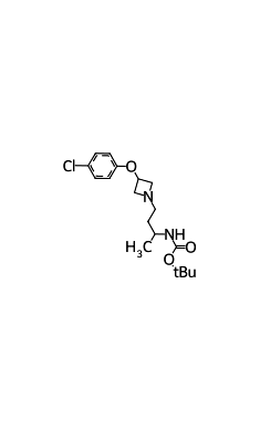 CC(CCN1CC(Oc2ccc(Cl)cc2)C1)NC(=O)OC(C)(C)C